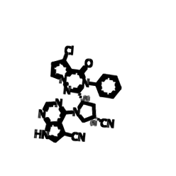 N#Cc1c[nH]c2ncnc(N3C[C@@H](C#N)C[C@H]3c3nn4ccc(Cl)c4c(=O)n3-c3ccccc3)c12